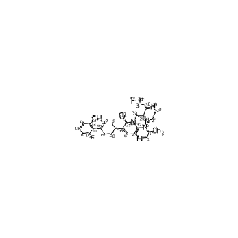 Cc1cnc2cc(C3CCC(c4c(C)cccc4F)CC3)c(=O)n(Cc3nccnc3C(F)(F)F)c2n1